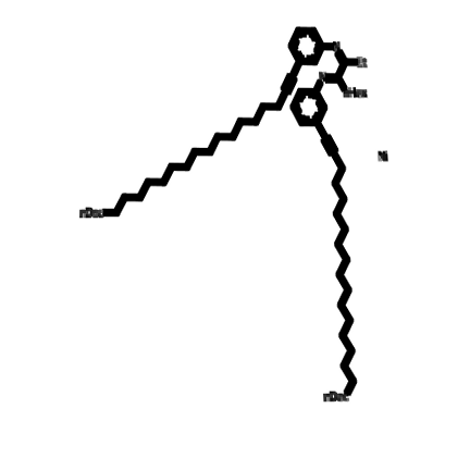 CCCCCCCCCCCCCCCCCCCCCCCCCC#Cc1cccc(N=C(CC)C(CCCCCC)=Nc2cccc(C#CCCCCCCCCCCCCCCCCCCCCCCCCC)c2)c1.[Ni]